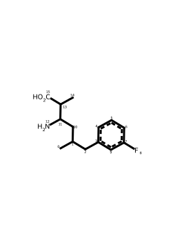 CC(Cc1cccc(F)c1)CC(N)C(C)C(=O)O